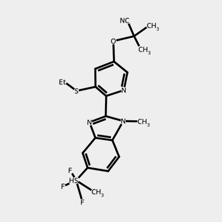 CCSc1cc(OC(C)(C)C#N)cnc1-c1nc2cc([SH](C)(F)(F)F)ccc2n1C